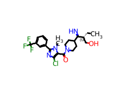 CC[C@H](CO)C(=N)C1CCN(C(=O)c2c(Cl)nc(-c3cccc(C(F)(F)F)c3)n2C)CC1